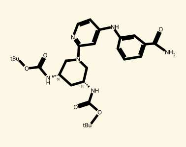 CC(C)(C)OC(=O)N[C@@H]1C[C@H](NC(=O)OC(C)(C)C)CN(c2cc(Nc3[c]ccc(C(N)=O)c3)ccn2)C1